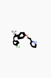 CC(Cc1ccc(Cl)cc1)c1ccc(OCCC2CCCCN2)cc1